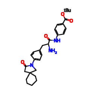 CC(C)(C)OC(=O)c1ccc(NC(=O)C(N)Cc2ccc(N3CC4(CCCCC4)CC3=O)cc2)cc1